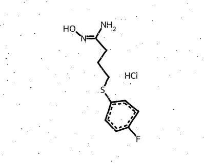 Cl.NC(CCCSc1ccc(F)cc1)=NO